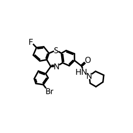 O=C(NN1CCCCC1)c1ccc2c(c1)N=C(c1cccc(Br)c1)c1ccc(F)cc1S2